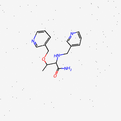 CC(OCc1cccnc1)C(NCc1cccnc1)C(N)=O